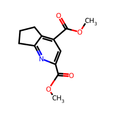 COC(=O)c1cc(C(=O)OC)c2c(n1)CCC2